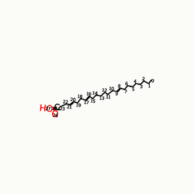 CCCCCCCCC=CCCCCCCC=CCCC=CCCCC(=O)O